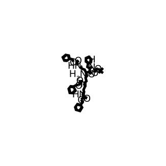 CC(C)(C)OC(=O)NC(Cc1ccccc1)C(=O)C(N)(CCCNC(=O)OCc1ccccc1)CCCN(CCCNC(=O)OCc1ccccc1)C(=O)OCc1ccccc1